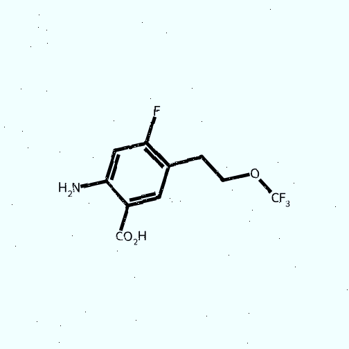 Nc1cc(F)c(CCOC(F)(F)F)cc1C(=O)O